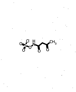 CC(=O)CC(=O)NOS(=O)(=O)Cl